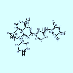 CN(c1nc(-c2ccnc(Nc3nc(F)c(F)cc3F)c2)nc2c(Cl)ncc(C3CC3)c12)C1CCNCC1